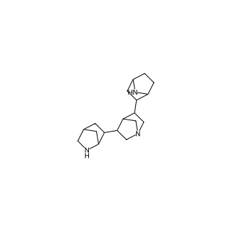 C1NC2CC1CC2C1CN2CC(C3CC4CCC3N4)C1C2